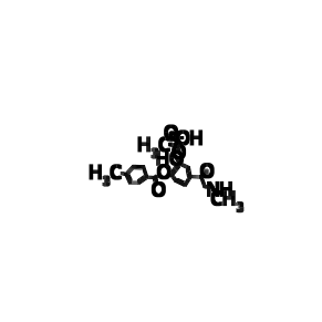 CNCC(=O)c1ccc(OC(=O)c2ccc(C)cc2)c(O)c1.CS(=O)(=O)O